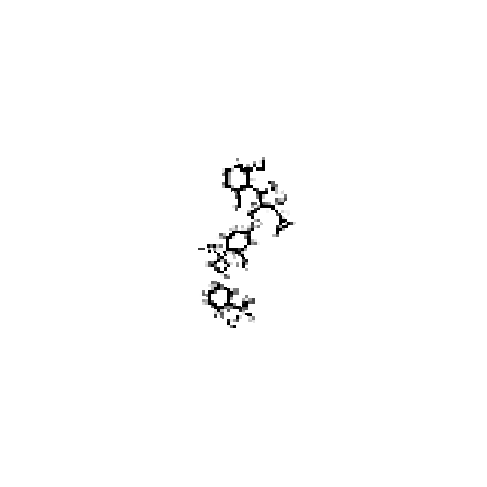 Cc1cccc(Cl)c1-c1noc(C2CC2)c1COc1ccc([C@]2(O)C[C@H](c3cccc(S(C)(=O)=O)c3)C2)c(Cl)c1